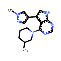 CC1CCCN(c2ncnc3[nH]cc(-c4cnn(C)c4)c23)C1